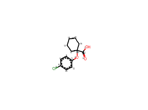 O=C(O)C1(Oc2ccc(Cl)cc2)CCCCC1